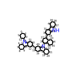 c1ccc(-n2c3ccccc3c3cc(-c4ccc5c6ccccc6n(-c6ccc(-c7ccc8c(c7)[nH]c7ccccc78)c7ccccc67)c5c4)ccc32)cc1